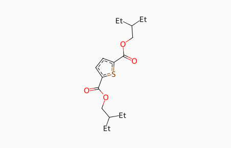 CCC(CC)COC(=O)c1ccc(C(=O)OCC(CC)CC)s1